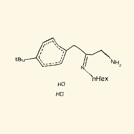 CCCCCCN=C(CN)Cc1ccc(C(C)(C)C)cc1.Cl.Cl